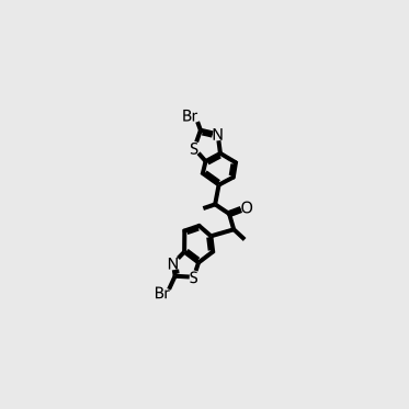 CC(C(=O)C(C)c1ccc2nc(Br)sc2c1)c1ccc2nc(Br)sc2c1